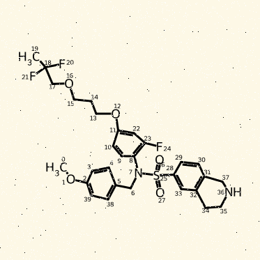 COc1ccc(CN(c2ccc(OCCCOCC(C)(F)F)cc2F)S(=O)(=O)c2ccc3c(c2)CCNC3)cc1